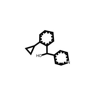 OC(c1ccncc1)c1ccccc1C1CC1